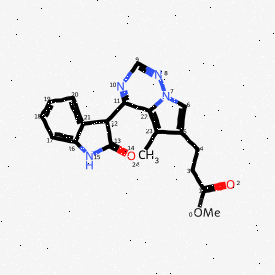 COC(=O)CCc1cn2ncnc(C3C(=O)Nc4ccccc43)c2c1C